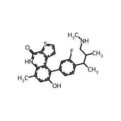 CNCC(C)C(C)c1ccc(-c2c(O)cc(C)c3[nH]c(=O)c4sccc4c23)cc1F